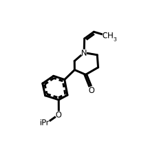 C/C=C\N1CCC(=O)C(c2cccc(OC(C)C)c2)C1